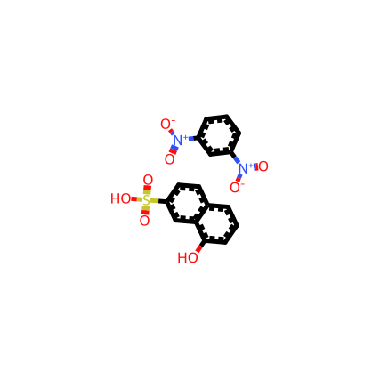 O=S(=O)(O)c1ccc2cccc(O)c2c1.O=[N+]([O-])c1cccc([N+](=O)[O-])c1